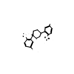 Cc1ccc(S(=O)(=O)O)c(C2CCC(O)(c3cc(C)ccc3S(=O)(=O)O)CC2)c1